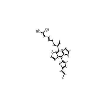 C/C=C(\OC/C=C/C=C(C#N)C#N)c1c2ccoc2c(-c2ccc(/C=C/C)o2)c2ccoc12